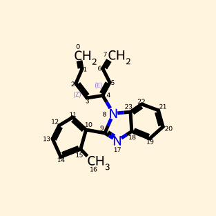 C=C/C=C\C(=C/C=C)n1c(-c2ccccc2C)nc2ccccc21